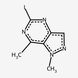 Cc1nc(I)nc2cnn(C)c12